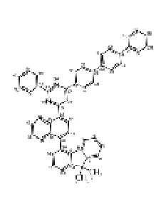 CC1(C)c2ccccc2-c2c(-c3ccc(-c4cc(-c5ccc(-c6ccc(-c7ccccc7)cc6)cc5)nc(-c5ccccc5)n4)c4ccccc34)cccc21